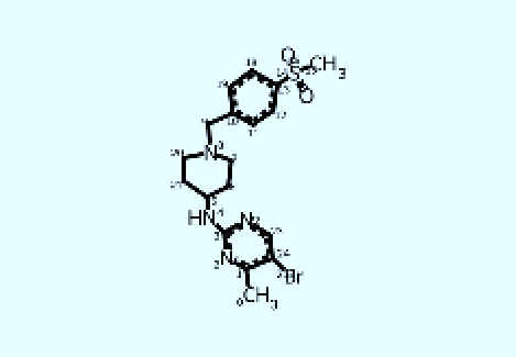 Cc1nc(NC2CCN(Cc3ccc(S(C)(=O)=O)cc3)CC2)ncc1Br